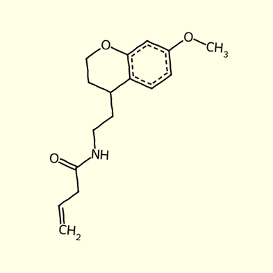 C=CCC(=O)NCCC1CCOc2cc(OC)ccc21